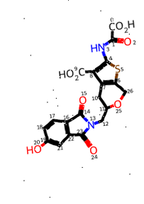 O=C(O)C(=O)Nc1sc2c(c1C(=O)O)CC(CN1C(=O)c3ccc(O)cc3C1=O)OC2